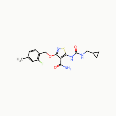 Cc1ccc(COc2nsc(NC(=O)NCC3CC3)c2C(N)=O)c(F)c1